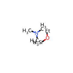 CCO[SiH3].CN(C)C